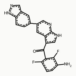 Nc1ccc(F)c(C(=O)c2c[nH]c3ncc(-c4ccc5[nH]ncc5c4)cc23)c1F